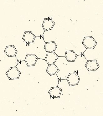 c1ccc(N(c2ccccc2)c2ccc(-c3c4ccc(N(c5ccncc5)c5cccnc5)cc4c(-c4ccc(N(c5ccccc5)c5ccccc5)cc4)c4ccc(N(c5ccncc5)c5cccnc5)cc34)cc2)cc1